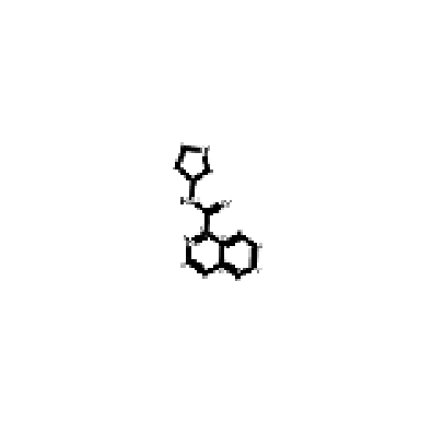 O=C(NC1CCOC1)c1nccc2ccccc12